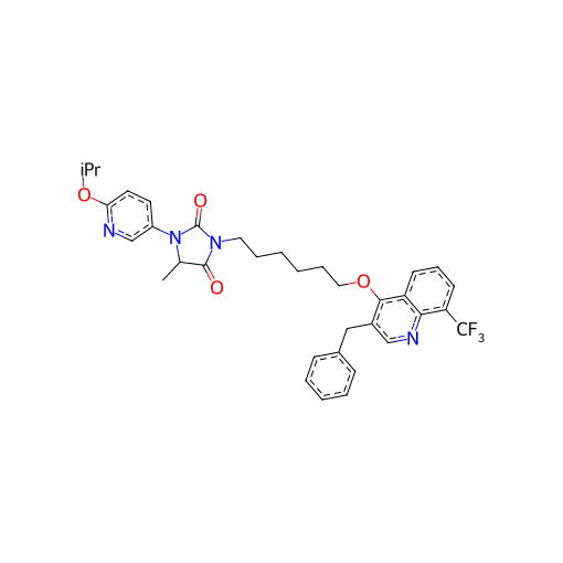 CC(C)Oc1ccc(N2C(=O)N(CCCCCCOc3c(Cc4ccccc4)cnc4c(C(F)(F)F)cccc34)C(=O)C2C)cn1